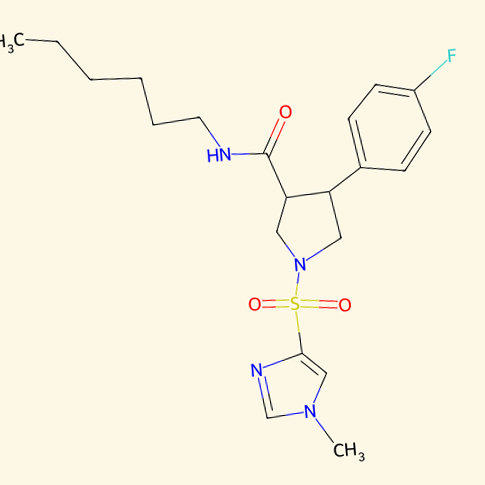 CCCCCCNC(=O)C1CN(S(=O)(=O)c2cn(C)cn2)CC1c1ccc(F)cc1